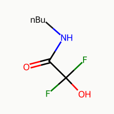 CCCCNC(=O)C(O)(F)F